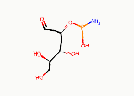 NP(O)O[C@@H](C=O)[C@H](O)[C@H](O)CO